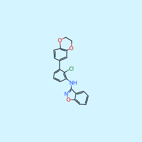 Clc1c(Nc2noc3ccccc23)cccc1-c1ccc2c(c1)OCCO2